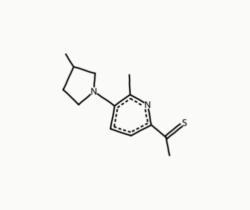 CC(=S)c1ccc(N2CCC(C)C2)c(C)n1